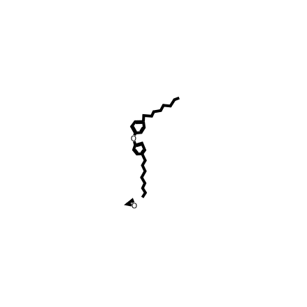 C1CO1.CCCCCCCCc1ccc(Oc2ccc(CCCCCCCC)cc2)cc1